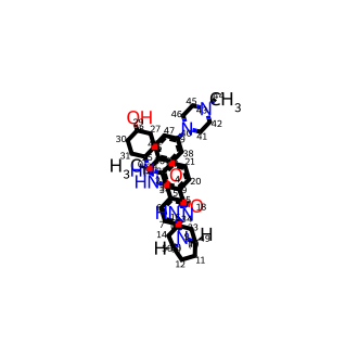 C[C@H](NC(=O)c1ccc(N2[C@@H]3CC[C@H]2C[C@@H](NC(=O)c2cccc(NC4CCC(O)CC4)c2)C3)nc1)c1ccc(N2CCN(C)CC2)cc1